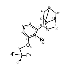 FC(F)(F)COc1cccc(C2C3CC4CC(C3)CC2C4)c1Br